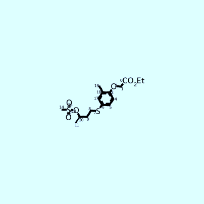 CCOC(=O)COc1ccc(SCC[C@@H](C)OS(C)(=O)=O)cc1C